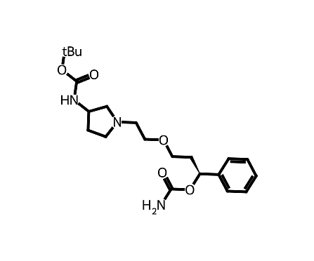 CC(C)(C)OC(=O)NC1CCN(CCOCC[C@H](OC(N)=O)c2ccccc2)C1